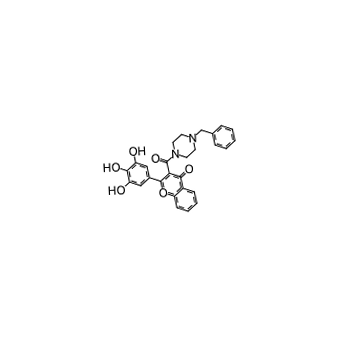 O=C(c1c(-c2cc(O)c(O)c(O)c2)oc2ccccc2c1=O)N1CCN(Cc2ccccc2)CC1